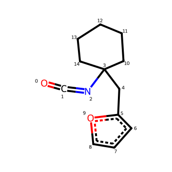 O=C=NC1(Cc2ccco2)CCCCC1